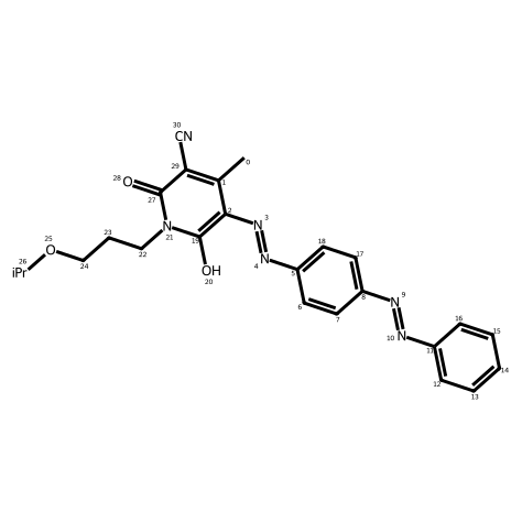 Cc1c(N=Nc2ccc(N=Nc3ccccc3)cc2)c(O)n(CCCOC(C)C)c(=O)c1C#N